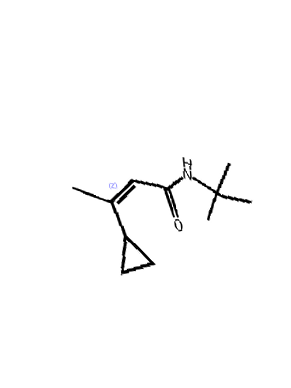 C/C(=C/C(=O)NC(C)(C)C)C1CC1